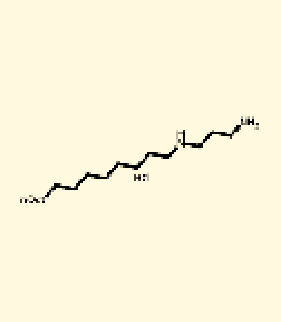 CCCCCCCCCCCCCCCCNCCCN.Cl